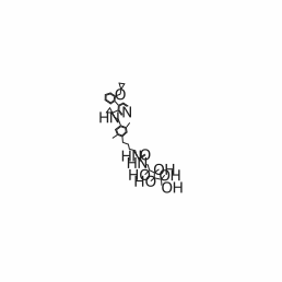 Cc1cc(CNC2(c3cnccc3-c3ccccc3OC3CC3)CC2)c(C)cc1CCCCNC(=O)NCC(O)C(O)C(O)C(O)CO